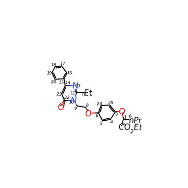 CCCC(Oc1ccc(OCCn2c(CC)nc(-c3ccccc3)cc2=O)cc1)C(=O)OCC